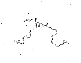 C=CC/C=C\C/C=C\C/C=C\C/C=C\CCCC(=O)OCC(COC(=O)CCC(=O)OCC)OC(=O)CCC/C=C\C/C=C\C/C=C\C/C=C\C